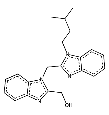 CC(C)CCn1c(Cn2c(CO)nc3ccccc32)nc2ccccc21